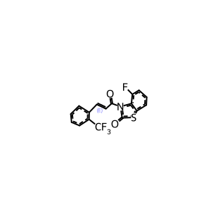 O=C(/C=C/c1ccccc1C(F)(F)F)n1c(=O)sc2cccc(F)c21